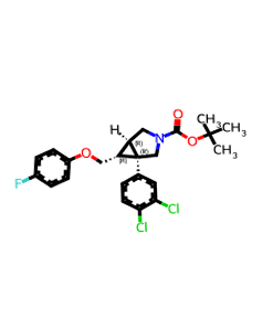 CC(C)(C)OC(=O)N1C[C@@H]2[C@@H](COc3ccc(F)cc3)[C@]2(c2ccc(Cl)c(Cl)c2)C1